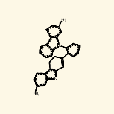 Nc1ccc2c3c(sc2c1)C=C(c1ccccc1-n1c2ccccc2c2ccc(N)cc21)CC3